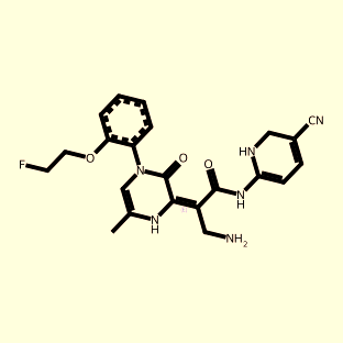 CC1=CN(c2ccccc2OCCF)C(=O)/C(=C(/CN)C(=O)NC2=CC=C(C#N)CN2)N1